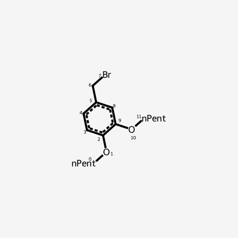 CCCCCOc1ccc(CBr)cc1OCCCCC